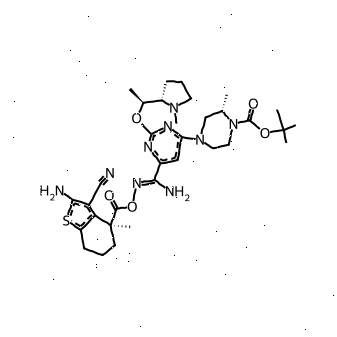 C[C@H](Oc1nc(/C(N)=N/OC(=O)[C@@]2(C)CCCc3sc(N)c(C#N)c32)cc(N2CCN(C(=O)OC(C)(C)C)[C@@H](C)C2)n1)[C@@H]1CCCN1C